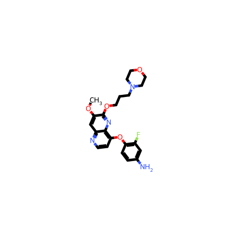 COc1cc2nccc(Oc3ccc(N)cc3F)c2nc1OCCCN1CCOCC1